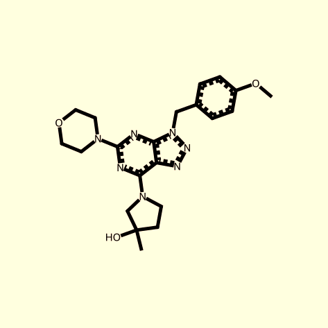 COc1ccc(Cn2nnc3c(N4CCC(C)(O)C4)nc(N4CCOCC4)nc32)cc1